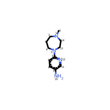 CN1CCCN(c2ccc(N)cn2)CC1